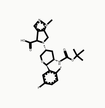 Cn1ncc2c1CN([C@H]1CO[C@H](c3cc(F)ccc3F)[C@@H](NC(=O)OC(C)(C)C)C1)C2C(=O)O